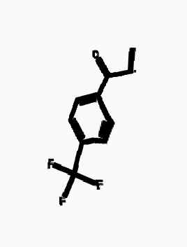 C[CH]C(=O)c1ccc(C(F)(F)F)cc1